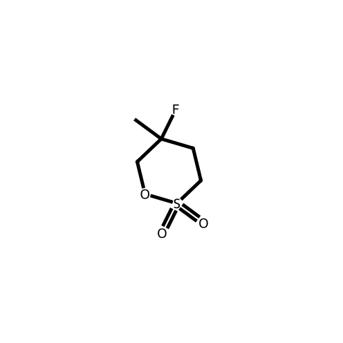 CC1(F)CCS(=O)(=O)OC1